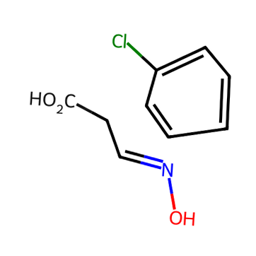 Clc1ccccc1.O=C(O)CC=NO